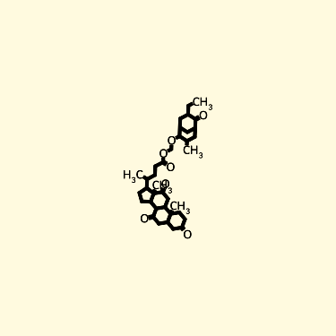 CCC1CC2CC(CC(C)C2OCOC(=O)CCC(C)C2CCC3C4C(=O)CC5CC(=O)CCC5(C)C4CC(=O)C23C)C1=O